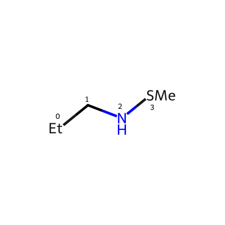 CCCNSC